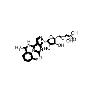 CC(Nc1nc(Cl)nc2c1cnn2[C@@H]1O[C@H](COCP(=O)(O)O)[C@@H](O)[C@H]1O)c1cccc(F)c1